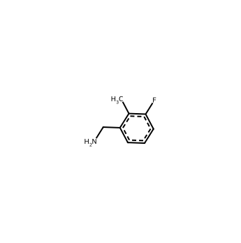 Cc1c(F)cccc1CN